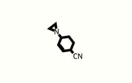 N#CC1C=CC(N2CC2)CC1